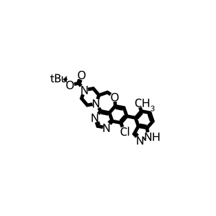 Cc1ccc2[nH]ncc2c1-c1cc2c3c(ncnc3c1Cl)N1CCN(C(=O)OC(C)(C)C)CC1CO2